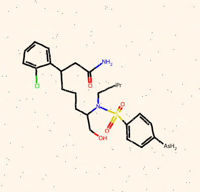 CC(C)CN(C(CO)CCCC(CC(N)=O)c1ccccc1Cl)S(=O)(=O)c1ccc([AsH2])cc1